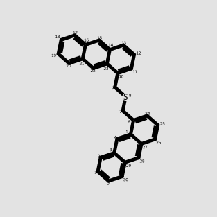 c1ccc2cc3c(CSCc4cccc5cc6ccccc6cc45)cccc3cc2c1